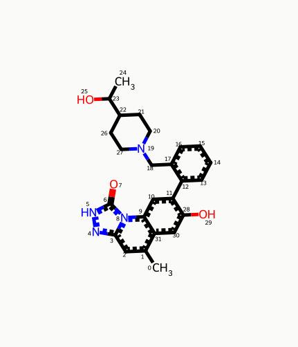 Cc1cc2n[nH]c(=O)n2c2cc(-c3ccccc3CN3CCC(C(C)O)CC3)c(O)cc12